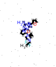 CC(F)(F)CN1CCN(C(=O)[C@@H]2CCCN2c2nc(N)n3nc(-c4ccco4)nc3n2)C2(CC2)C1